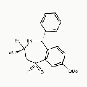 CCCC[C@]1(CC)CS(=O)(=O)c2cc(OC)ccc2[C@@H](c2ccccc2)N1